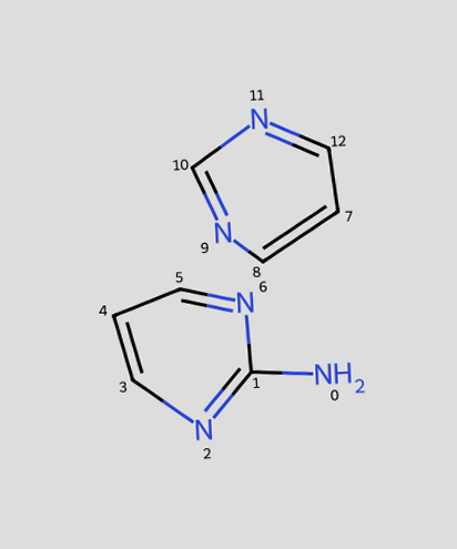 Nc1ncccn1.c1cncnc1